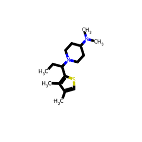 [CH2]c1csc(C(CC)N2CCC(N(C)C)CC2)c1C